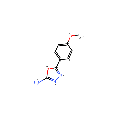 Nc1nnc(-c2ccc(OC(F)(F)F)cc2)o1